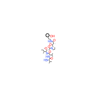 CC[C@H](C)[C@@H]([C@@H](CC(=O)N1CCC[C@H]1[C@H](OC)[C@@H](C)C(=O)NCCc1ccccc1O)OC)N(C)C(=O)[C@@H](NC(=O)[C@@H](NC)C(C)C)C(C)C